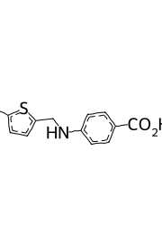 Cc1ccc(CNc2ccc(C(=O)O)cc2)s1